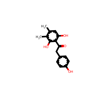 Cc1cc(O)c(C(=O)Cc2ccc(O)cc2)c(O)c1C